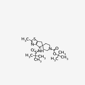 Cc1nc2c(s1)CC1(CCN(C(=O)OC(C)(C)C)CC1)[C@@H]2N[S+]([O-])C(C)(C)C